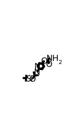 CC(C)(C)[Si](C)(C)OC1CN(c2ccc(OC(N)=O)cn2)C1